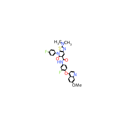 COc1ccc2c(Oc3ccc(NC(=O)c4cc5nc(N(C)C)sc5n(-c5ccc(F)cc5)c4=O)cc3F)ccnc2c1